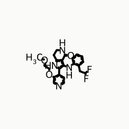 COCCOc1cnccc1-c1[nH]c2c(c1Nc1ccccc1CC(F)F)C(=O)NCC2